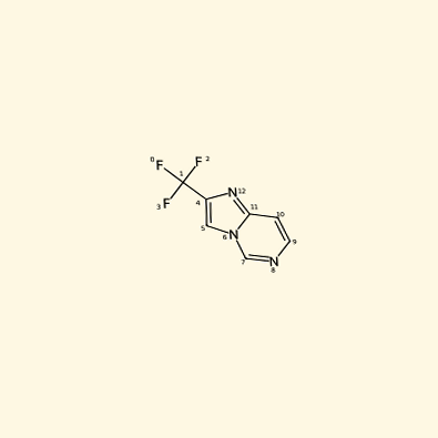 FC(F)(F)c1cn2cnccc2n1